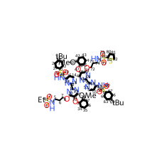 CCS(=O)(=O)NCCCOc1nc(-c2nccc(NS(=O)(=O)c3ccc(C(C)(C)C)cc3)n2)ncc1Oc1ccccc1OC.COc1ccccc1Oc1cnc(-c2nccc(NS(=O)(=O)c3ccc(C(C)(C)C)cc3)n2)nc1OCCCNS(=O)(=O)c1cccs1